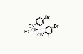 Cl.Cl.[C-]#[N+]c1ccc(Br)cc1C.[C-]#[N+]c1ccc(Br)cc1C